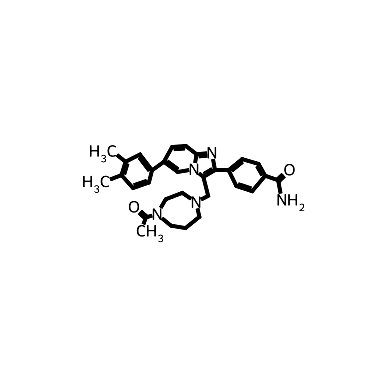 CC(=O)N1CCCN(Cc2c(-c3ccc(C(N)=O)cc3)nc3ccc(-c4ccc(C)c(C)c4)cn23)CC1